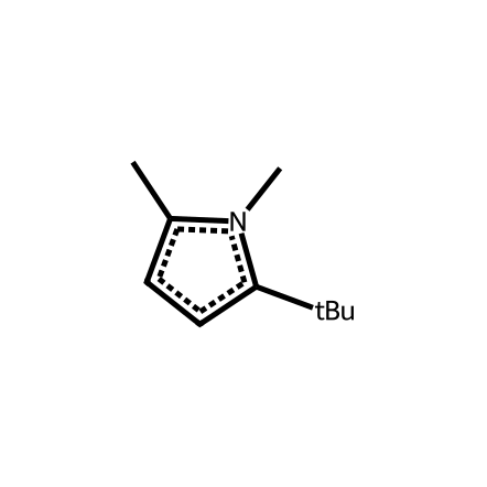 Cc1ccc(C(C)(C)C)n1C